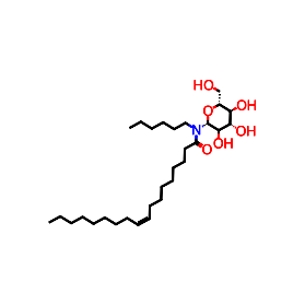 CCCCCCCC/C=C\CCCCCCCC(=O)N(CCCCCC)[C@@H]1O[C@H](CO)[C@@H](O)[C@H](O)[C@H]1O